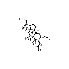 C[C@H]1C[C@@H]2[C@H]([C@@H](O)C[C@]3(C)[C@@H](C(=O)CO)CC[C@@H]23)[C@@]2(C)CCC(=O)C=C12